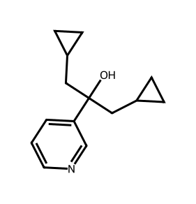 OC(CC1CC1)(CC1CC1)c1cccnc1